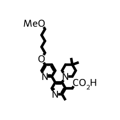 COCCCCCOc1ccc(-c2cnc(C)c(CC(=O)O)c2N2CCC(C)(C)CC2)nc1